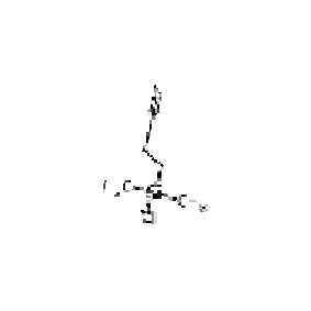 C[Si](C)(Cl)CCC#N